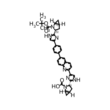 CC(C)(C)OC(=O)N1[C@@H]2C[C@H]2C[C@H]1c1nc(-c2ccc(-c3ccc4nc(-c5c[nH]c([C@@H]6C[C@H]7C[C@H]7N6C(=O)O)n5)ccc4c3)cc2)c[nH]1